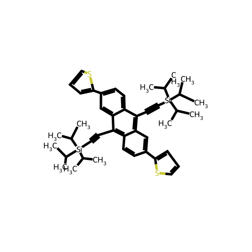 CC(C)[Si](C#Cc1c2ccc(-c3cccs3)cc2c(C#C[Si](C(C)C)(C(C)C)C(C)C)c2ccc(-c3cccs3)cc12)(C(C)C)C(C)C